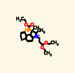 CCOC(=O)PC1(C)C(C)=[N+](CCC(OCC)OCC)c2ccc3c(c21)C=CCC3